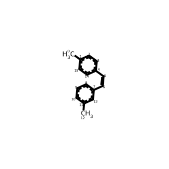 Cc1ccc(/C=C\c2cccc(C)c2)cc1